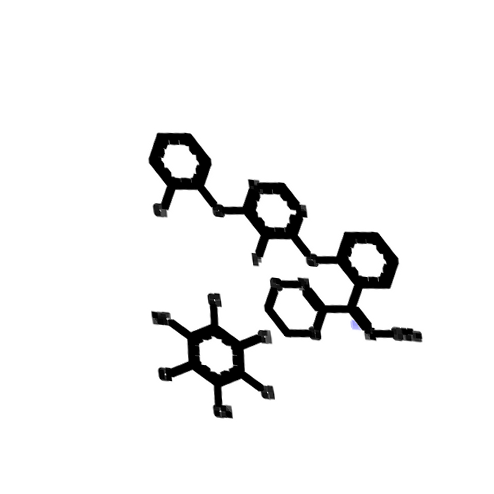 CO/N=C(/C1=NOCCO1)c1ccccc1Oc1ncnc(Oc2ccccc2Cl)c1F.N#Cc1c(Cl)c(Cl)c(Cl)c(C#N)c1Cl